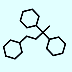 CC(CCC1CCCCC1)(C1CCCCC1)C1CCCCC1